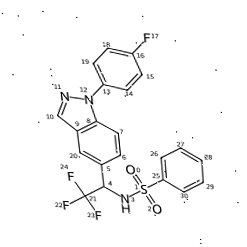 O=S(=O)(NC(c1ccc2c(cnn2-c2ccc(F)cc2)c1)C(F)(F)F)c1ccccc1